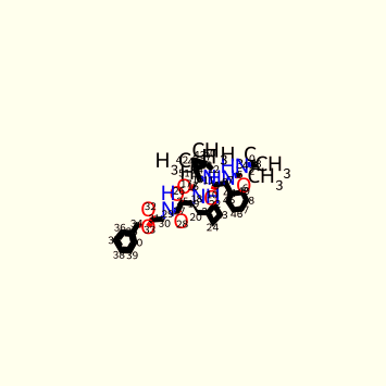 CC(C)(C)NC(=O)N[C@H](C(=O)N1C[C@H]2[C@@H]([C@H]1C(=O)N[C@@H](CC1CCC1)C(=O)C(=O)NCC(=O)OCc1ccccc1)C2(C)C)C1CCCCC1